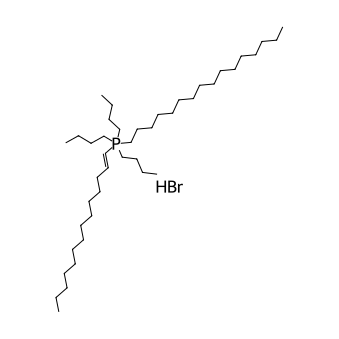 Br.CCCCCCCCCCCCC=CP(CCCC)(CCCC)(CCCC)CCCCCCCCCCCCCCCC